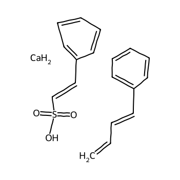 C=CC=Cc1ccccc1.O=S(=O)(O)C=Cc1ccccc1.[CaH2]